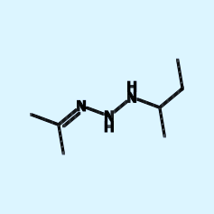 CCC(C)NNN=C(C)C